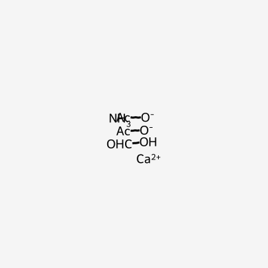 CC(=O)[O-].CC(=O)[O-].N.O=CO.[Ca+2]